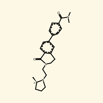 C[C@@H]1CCCN1CCN1CCc2cc(-c3ccc(C(=O)N(C)C)cc3)ccc2C1=O